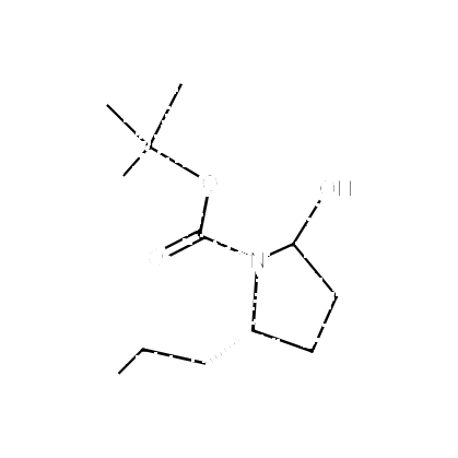 CCC[C@H]1CCC(O)N1C(=O)OC(C)(C)C